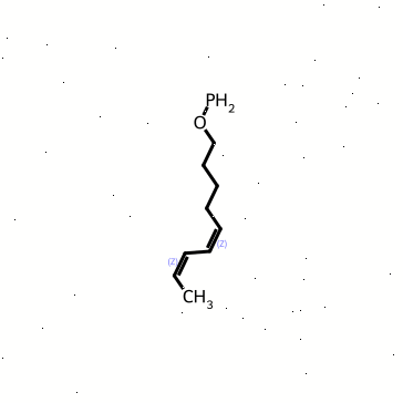 C/C=C\C=C/CCCCOP